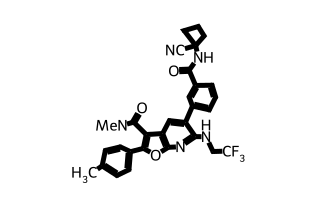 CNC(=O)c1c(-c2ccc(C)cc2)oc2nc(NCC(F)(F)F)c(-c3cccc(C(=O)NC4(C#N)CCC4)c3)cc12